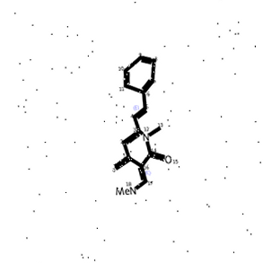 C=c1cc(/C=C/c2ccccc2)n(C)c(=O)/c1=C/NC